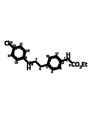 CCOC(=O)Nc1ccc(CCNc2ccc(Cl)cc2)cc1